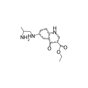 CCOC(=O)c1c[nH]c2ccc(NCC(C)N)cc2c1=O